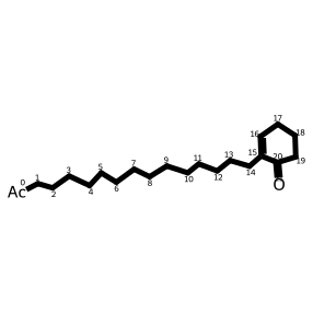 CC(=O)CCCCCCCCCCCCCCC1=CCCCC1=O